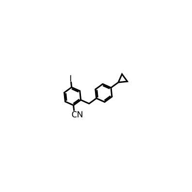 N#Cc1ccc(I)cc1Cc1ccc(C2CC2)cc1